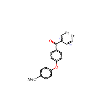 CC/C=C\C(=C/CC)C(=O)c1ccc(Oc2ccc(OC)cc2)cc1